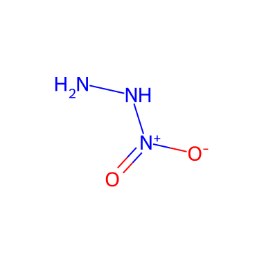 NN[N+](=O)[O-]